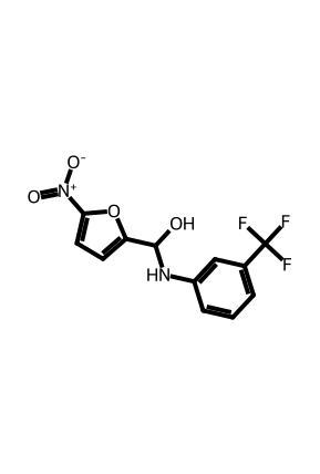 O=[N+]([O-])c1ccc(C(O)Nc2cccc(C(F)(F)F)c2)o1